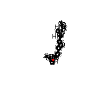 COC(=O)NC(C(=O)N1CCCC1c1ncc(-c2ccc3c(c2)OCc2cc(-c4ccc5nc(C6[C@H]7CCC(C7)N6C(=O)OC(C)(C)C)[nH]c5c4)ccc2-3)[nH]1)C(C)C